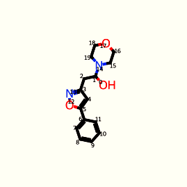 OC(Cc1cc(-c2ccccc2)on1)N1CCOCC1